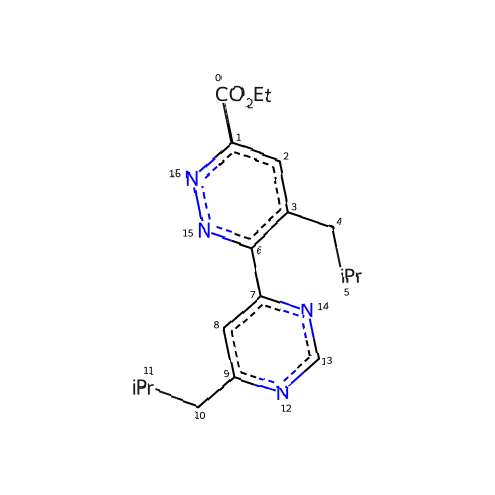 CCOC(=O)c1cc(CC(C)C)c(-c2cc(CC(C)C)ncn2)nn1